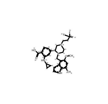 COc1cc(C)c2[nH]ccc2c1CN1CCN(CCC(F)(F)F)C[C@@H]1c1ccc(C(=O)O)c(NC2CC2)c1